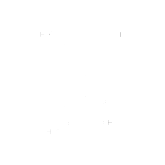 COCC(OC)c1cc(C)cc(C)c1